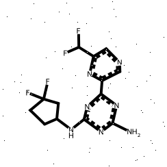 Nc1nc(NC2CCC(F)(F)C2)nc(-c2cncc(C(F)F)n2)n1